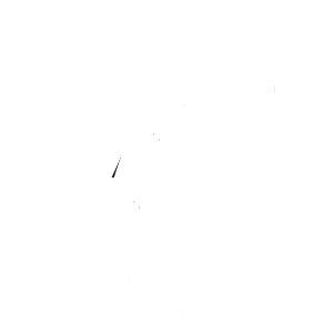 COc1cc(C(=O)N2[C@@H](c3nccs3)[C@H](C(=O)O)C[C@@]2(Cc2ccccc2)C(=O)OC(C)(C)C)ccc1C(C)(C)C